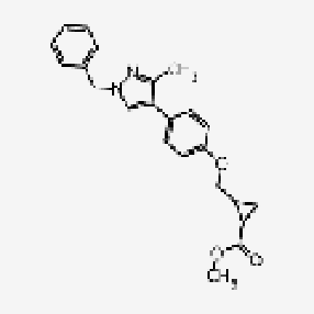 COC(=O)C1CC1COc1ccc(-c2cn(Cc3ccccc3)nc2C)cc1